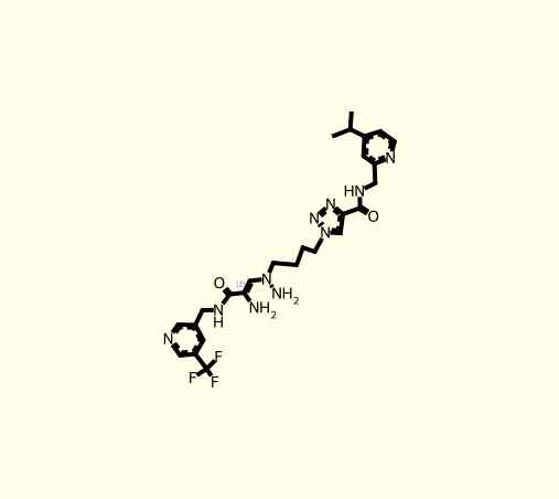 CC(C)c1ccnc(CNC(=O)c2cn(CCCCN(N)/C=C(\N)C(=O)NCc3cncc(C(F)(F)F)c3)nn2)c1